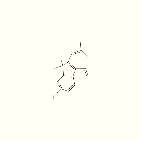 C=CC1=C(C=C(C)C)C(C)(C)c2cc(I)ccc21